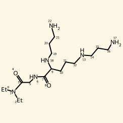 CCN(CC)C(=O)CNC(=O)C(CCCNCCCN)NCCCN